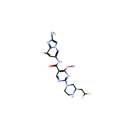 CCOc1nc(N2CCN[C@H](CC(F)F)C2)ncc1C(=O)Nc1cc(F)c2nc(C)cn2c1